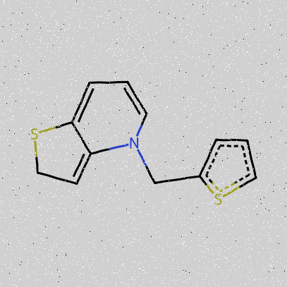 C1=CN(Cc2cccs2)C2=CCSC2=C1